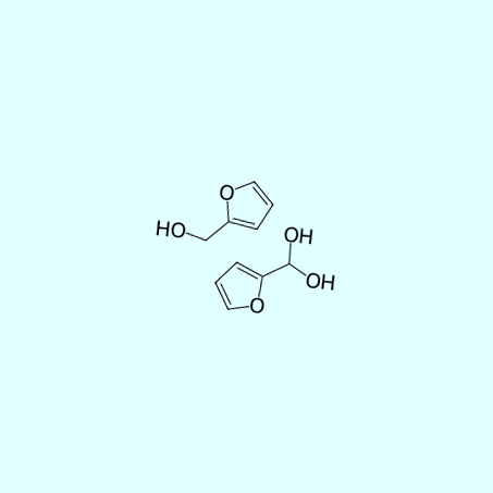 OC(O)c1ccco1.OCc1ccco1